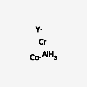 [AlH3].[Co].[Cr].[Y]